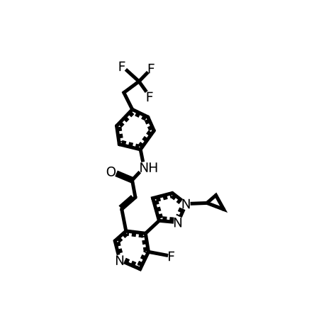 O=C(/C=C/c1cncc(F)c1-c1ccn(C2CC2)n1)Nc1ccc(CC(F)(F)F)cc1